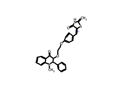 C=c1[nH]c(=O)/c(=C\c2ccc(OCCOC3C(=O)c4ccccc4N(C)C3c3ccccc3)cc2)s1